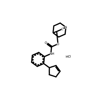 Cl.O=C(Nc1ccccc1C1C=CCC1)OC1CN2CCC1CC2